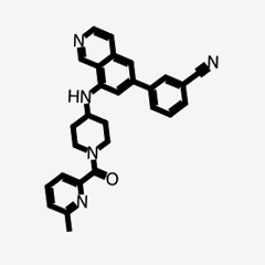 Cc1cccc(C(=O)N2CCC(Nc3cc(-c4cccc(C#N)c4)cc4ccncc34)CC2)n1